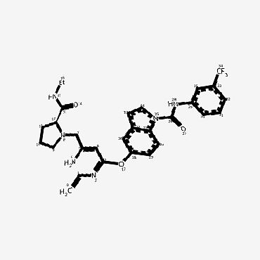 C=C/N=C(\C=C(/N)CN1CCC[C@H]1C(=O)NCC)Oc1ccc2c(ccn2C(=O)Nc2cccc(C(F)(F)F)c2)c1